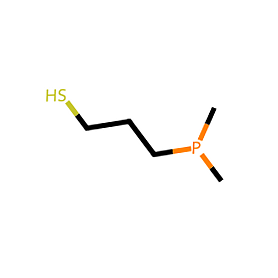 CP(C)CCCS